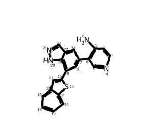 Nc1ccncc1-c1cc(-c2cc3ccccc3s2)c2[nH]ncc2c1